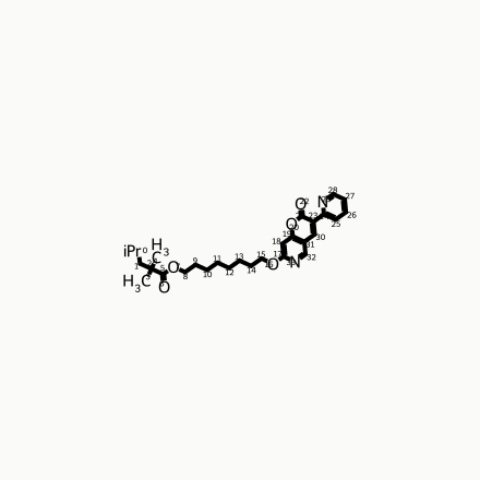 CC(C)CC(C)(C)C(=O)OCCCCCCCCOc1cc2oc(=O)c(-c3ccccn3)cc2cn1